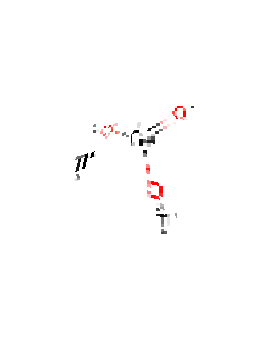 [O]=[Ge]([O-])[O-].[Tl+].[Tl+]